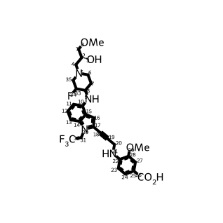 COC[C@H](O)CN1CCC(Nc2cccc3c2cc(C#CCNc2ccc(C(=O)O)cc2OC)n3CC(F)(F)F)C(F)C1